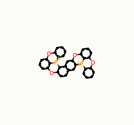 S=P12c3ccccc3Oc3cccc(c31)Oc1cc3c4c(ccc3cc12)Oc1cccc2c1P4(=S)c1ccccc1O2